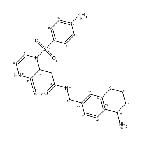 Cc1ccc(S(=O)(=O)N2C=CNC(=O)C2CC(=O)NCc2ccc3c(c2)CCCC3N)cc1